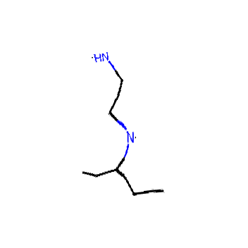 CCC(C)[N]CC[NH]